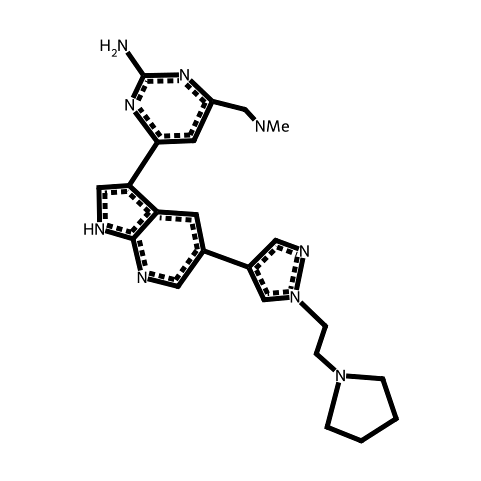 CNCc1cc(-c2c[nH]c3ncc(-c4cnn(CCN5CCCC5)c4)cc23)nc(N)n1